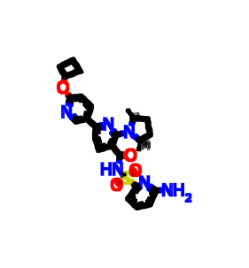 C[C@@H]1CC[C@H](C)N1c1nc(-c2ccc(OC3CCC3)nc2)ccc1C(=O)NS(=O)(=O)c1cccc(N)n1